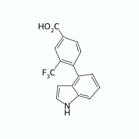 O=C(O)c1ccc(-c2cccc3[nH]ccc23)c(C(F)(F)F)c1